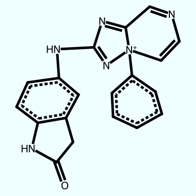 O=C1Cc2cc(NC3=N[N+]4(c5ccccc5)C=CN=CC4=N3)ccc2N1